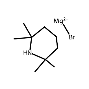 CC1(C)CCCC(C)(C)N1.[Mg+2][Br]